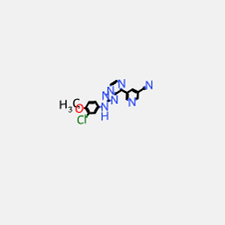 COc1ccc(Nc2nc3c(-c4cncc(C#N)c4)nccn3n2)cc1Cl